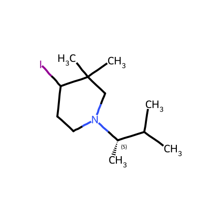 CC(C)[C@H](C)N1CCC(I)C(C)(C)C1